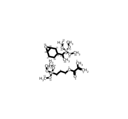 C=C(C)C(=O)OCCC[Si](OC)(OC)OC.CO[Si](OC)(OC)C(C)C1CCC2OC2C1